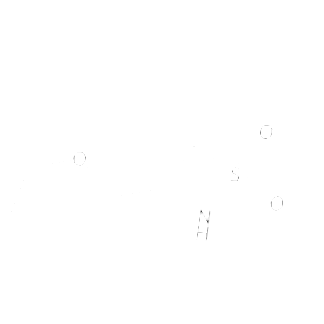 CC(C)OCC1CS(=O)(=O)N1